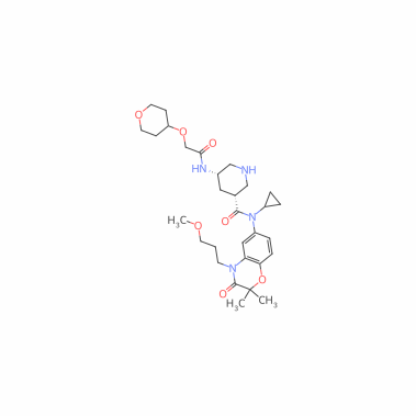 COCCCN1C(=O)C(C)(C)Oc2ccc(N(C(=O)[C@H]3CNC[C@@H](NC(=O)COC4CCOCC4)C3)C3CC3)cc21